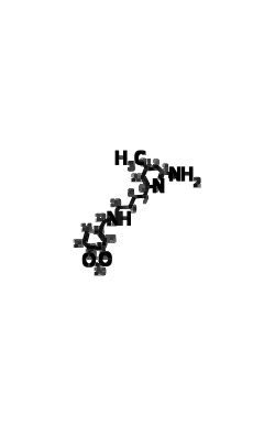 Cc1cc(N)nc(CCCCNCc2ccc3c(c2)OCO3)c1